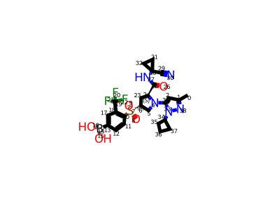 Cc1cc(N2C[C@H](S(=O)(=O)c3ccc(B(O)O)cc3C(F)(F)F)C[C@H]2C(=O)NC2(C#N)CC2)n(C2CCC2)n1